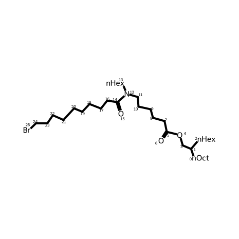 CCCCCCCCC(CCCCCC)COC(=O)CCCCCN(CCCCCC)C(=O)CCCCCCCCCBr